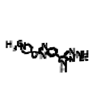 CCNc1ncc2c(-c3ccc4ncc(OC5CCN(C)CC5)nc4c3)c[nH]c2n1